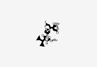 COc1nnc(Cl)cc1C(CC(F)F)n1cc(NC(=O)[C@@H](NC(=O)OC(C)(C)C)C(C2CC2)C2CC2)cn1